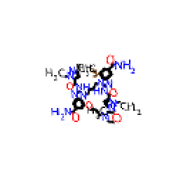 CCn1nc(C)cc1C(=O)Nc1nc2cc(C(N)=O)cc(OCCCN3CCOCC3)c2n1C/C=C/Cn1c(NC(=O)c2cc(C)nn2CC)nc2cc(C(N)=O)cc(SC)c21